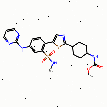 CCNS(=O)(=O)c1cc(Nc2ncccn2)ccc1-c1cnc(C2CCC(NC(=O)OC(C)C)CC2)s1